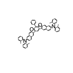 Cc1ccccc1N(c1ccc2cc3c(cc2c1)oc1c(-c2ccccc2)c2oc4cc5cc(N(c6ccccc6C)c6ccccc6C)ccc5cc4c2cc13)c1ccccc1C